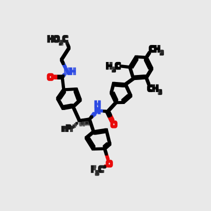 CCC[C@H](c1ccc(C(=O)NCCC(=O)O)cc1)[C@@H](NC(=O)c1ccc(-c2c(C)cc(C)cc2C)cc1)c1ccc(OC(F)(F)F)cc1